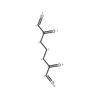 O=CC(=O)CCCC(=O)C=O